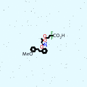 COc1cccc(CCc2ccccc2O[C@@H](CC(C)OC(=O)CCC(F)(F)C(=O)O)N(C)C)c1